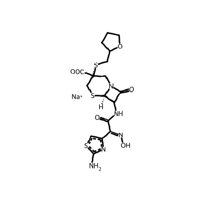 Nc1nc(C(=NO)C(=O)NC2C(=O)N3CC(SCC4CCCO4)(C(=O)[O-])CS[C@H]23)cs1.[Na+]